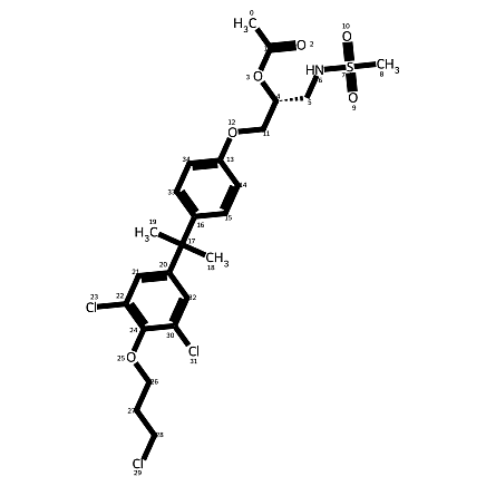 CC(=O)O[C@H](CNS(C)(=O)=O)COc1ccc(C(C)(C)c2cc(Cl)c(OCCCCl)c(Cl)c2)cc1